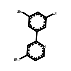 CC(C)(C)c1cc(Br)cc(-c2cc(C(C)(C)C)ccn2)c1